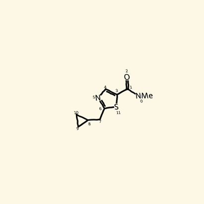 CNC(=O)c1cnc(CC2CC2)s1